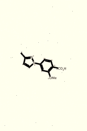 COc1cc(-n2ccc(C)n2)ccc1C(=O)O